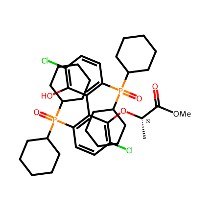 COC(=O)[C@H](C)Oc1c(Cl)ccc(P(=O)(C2CCCCC2)C2CCCCC2)c1-c1c(P(=O)(C2CCCCC2)C2CCCCC2)ccc(Cl)c1O